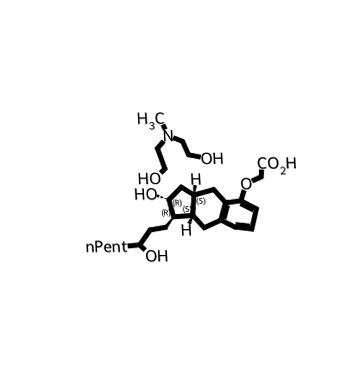 CCCCCC(O)CC[C@@H]1[C@H]2Cc3cccc(OCC(=O)O)c3C[C@H]2C[C@H]1O.CN(CCO)CCO